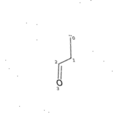 [CH]CC=O